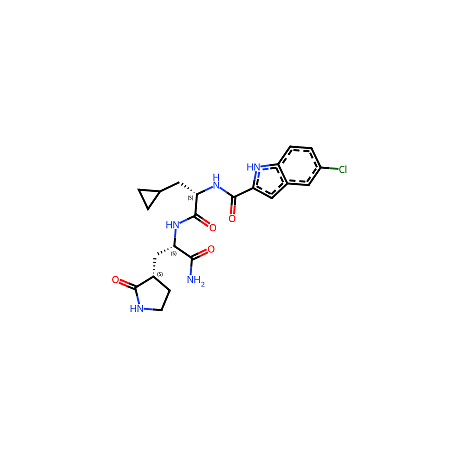 NC(=O)[C@H](C[C@@H]1CCNC1=O)NC(=O)[C@H](CC1CC1)NC(=O)c1cc2cc(Cl)ccc2[nH]1